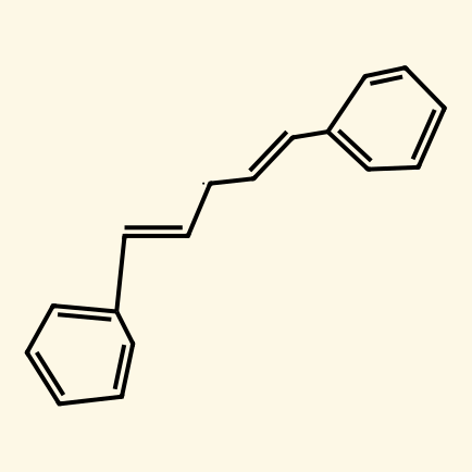 [CH](C=Cc1ccccc1)C=Cc1ccccc1